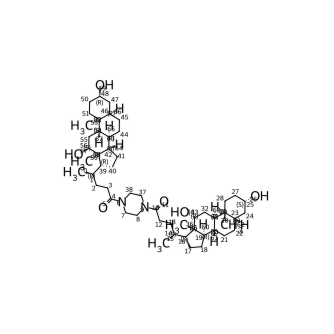 C[C@H](CCC(=O)N1CCN(C(=O)CC[C@H](C)[C@@H]2CC[C@@H]3[C@H]4CC[C@H]5C[C@@H](O)CC[C@@]5(C)[C@@H]4C[C@@H](O)[C@]32C)CC1)[C@H]1CC[C@H]2[C@@H]3CC[C@@H]4C[C@H](O)CC[C@]4(C)[C@H]3C[C@H](O)[C@]12C